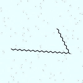 [CH2]C(CCCCCCCCCCCC)CCCCCCCCCCCCCCCCCCCCCCCCCC